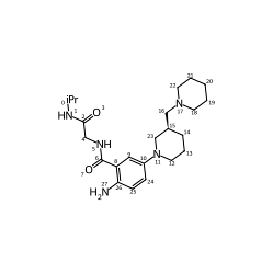 CC(C)NC(=O)CNC(=O)c1cc(N2CCC[C@H](CN3CCCCC3)C2)ccc1N